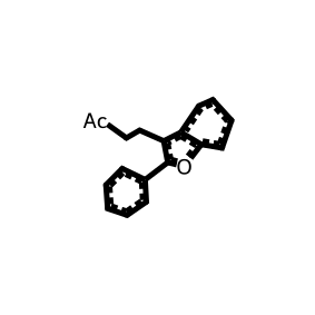 CC(=O)CCc1c(-c2ccccc2)oc2ccccc12